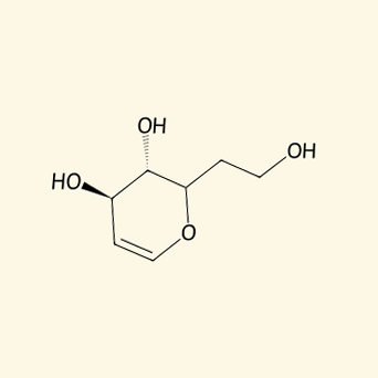 OCCC1OC=C[C@@H](O)[C@@H]1O